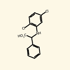 O=C(O)C(Nc1cc(Cl)ccc1Cl)c1ccccc1